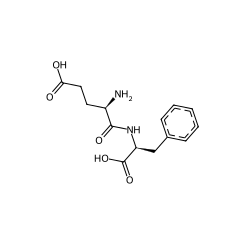 N[C@H](CCC(=O)O)C(=O)N[C@@H](Cc1ccccc1)C(=O)O